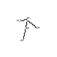 NCCC(N)N(CCCCCCO)CCCNCCCCCCO